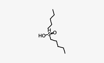 CCCCC[SH](=O)(O)CCCCC